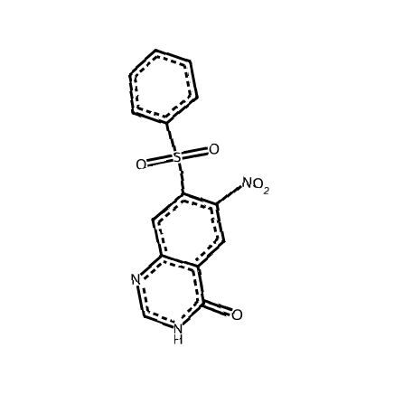 O=c1[nH]cnc2cc(S(=O)(=O)c3ccccc3)c([N+](=O)[O-])cc12